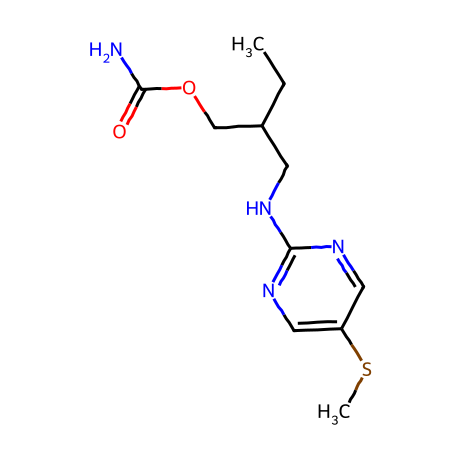 CCC(CNc1ncc(SC)cn1)COC(N)=O